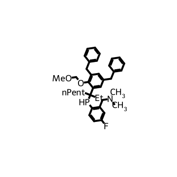 CCCCCC(CC)(Pc1ccc(F)cc1CN(C)C)c1cc(Cc2ccccc2)cc(Cc2ccccc2)c1OCOC